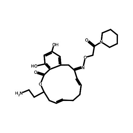 NCCC1C/C=C/CC/C=C/C(=NOCC(=O)N2CCCCC2)Cc2cc(O)cc(O)c2C(=O)O1